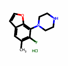 Cc1cc2ccoc2c(N2CCNCC2)c1F.Cl